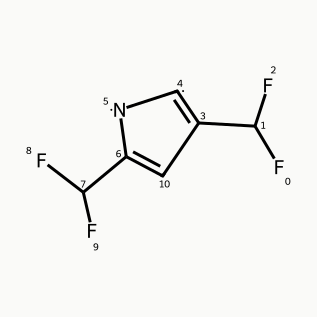 FC(F)C1=[C][N]C(C(F)F)=C1